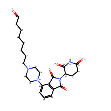 O=CCCCCCCCN1CCN(c2cccc3c2C(=O)N(C2CCC(=O)NC2=O)C3=O)CC1